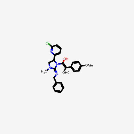 COc1ccc(/C(C=O)=C(\O)N2/C(=N/Cc3ccccc3)N(C)CC2c2cccc(Cl)n2)cc1